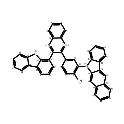 N#Cc1ccc(-c2nc3ccccc3nc2-c2cccc3c2oc2ccccc23)cc1-n1c2ccccc2c2cc3ccccc3cc21